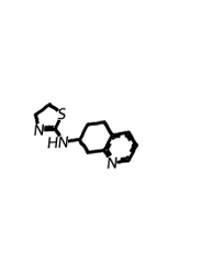 c1cnc2c(c1)CCC(NC1=NCCS1)C2